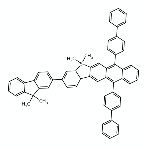 CC1(C)c2ccccc2-c2ccc(C3=CC4C(C=C3)c3cc5c(-c6ccc(-c7ccccc7)cc6)c6ccccc6c(-c6ccc(-c7ccccc7)cc6)c5cc3[Si]4(C)C)cc21